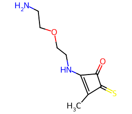 Cc1c(NCCOCCN)c(=O)c1=S